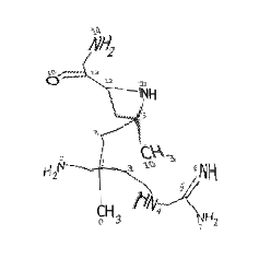 CC(N)(CNC(=N)N)CC1(C)NC1C(N)=O